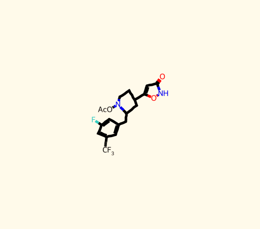 CC(=O)ON1CCC(c2cc(=O)[nH]o2)CC1Cc1cc(F)cc(C(F)(F)F)c1